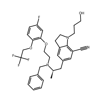 C[C@H](Cc1cc(C#N)c2c(c1)CCN2CCCO)N(CCOc1cc(F)ccc1OCC(F)(F)F)Cc1ccccc1